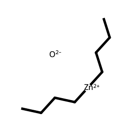 CCC[CH2][Zn+2][CH2]CCC.[O-2]